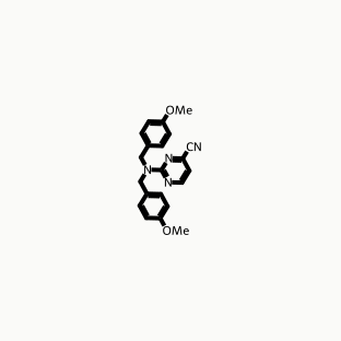 COc1ccc(CN(Cc2ccc(OC)cc2)c2nccc(C#N)n2)cc1